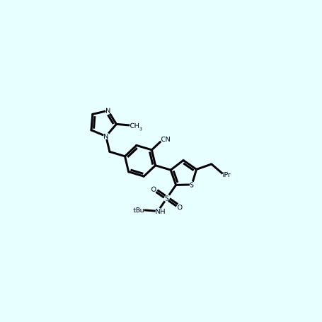 Cc1nccn1Cc1ccc(-c2cc(CC(C)C)sc2S(=O)(=O)NC(C)(C)C)c(C#N)c1